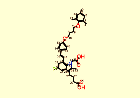 Cc1cc(C)c(OCCCCOc2ccc(C=Cc3cc(F)cc4c(CCCC(=O)O)c(C)n(CC(=O)O)c34)cc2)c(C)c1